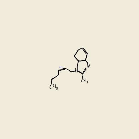 CCC/C=C\CN1C(C)=NC2C=CCCC21